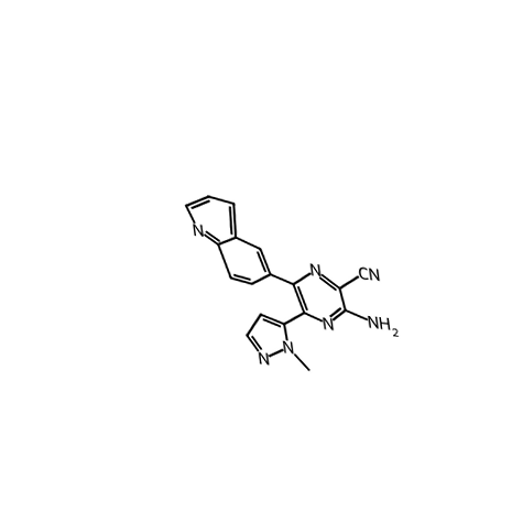 Cn1nccc1-c1nc(N)c(C#N)nc1-c1ccc2ncccc2c1